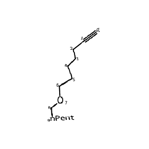 [C]#CCCCCCOCCCCCC